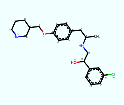 CC(Cc1ccc(OCC2CCCNC2)cc1)NCC(O)c1cccc(Cl)c1